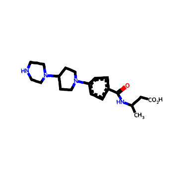 CC(CC(=O)O)NC(=O)c1ccc(N2CCC(N3CCNCC3)CC2)cc1